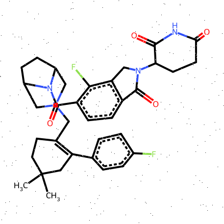 CC1(C)CCC(CN2CC3CCC(C2)N3C(=O)c2ccc3c(c2F)CN(C2CCC(=O)NC2=O)C3=O)=C(c2ccc(F)cc2)C1